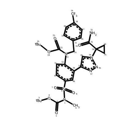 CN(C(=O)OC(C)(C)C)S(=O)(=O)c1ccc(N(Cc2ccc(C(F)(F)F)cc2)C(=O)OC(C)(C)C)c(-c2cn(C3(C(N)=O)CC3)nn2)c1